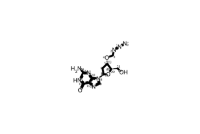 [N-]=[N+]=NCO[C@H]1C[C@H](n2cnc3c(=O)[nH]c(N)nc32)O[C@@H]1CO